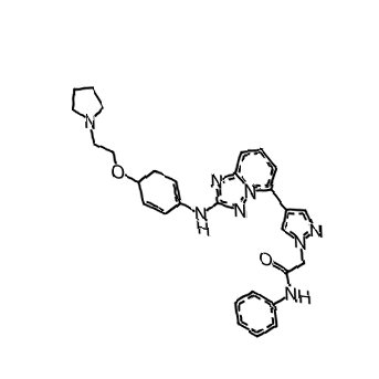 O=C(Cn1cc(-c2cccc3nc(NC4=CCC(OCCN5CCCC5)C=C4)nn23)cn1)Nc1ccccc1